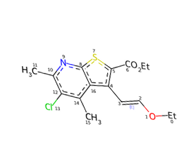 CCO/C=C/c1c(C(=O)OCC)sc2nc(C)c(Cl)c(C)c12